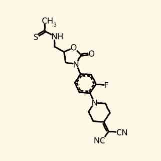 CC(=S)NCC1CN(c2ccc(N3CCC(=C(C#N)C#N)CC3)c(F)c2)C(=O)O1